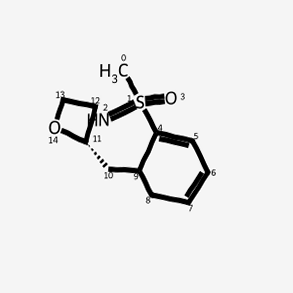 CS(=N)(=O)C1=CC=CCC1C[C@H]1CCO1